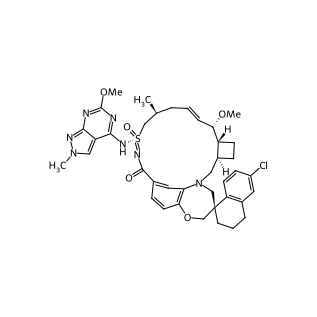 COc1nc(N[S@@]2(=O)=NC(=O)c3ccc4c(c3)N(C[C@@H]3CC[C@H]3[C@@H](OC)/C=C/C[C@H](C)C2)C[C@@]2(CCCc3cc(Cl)ccc32)CO4)c2cn(C)nc2n1